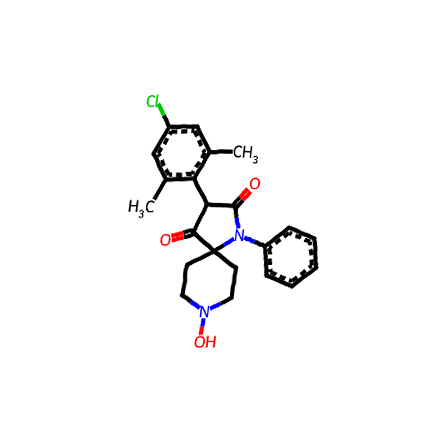 Cc1cc(Cl)cc(C)c1C1C(=O)N(c2ccccc2)C2(CCN(O)CC2)C1=O